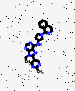 CCn1c(-c2cnc(C)nc2)nc2c(NC3CCN(c4nccc5ccccc45)C3)ncnc21